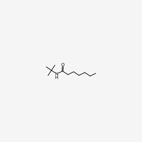 CCCCCCC(=O)NC(C)(C)C